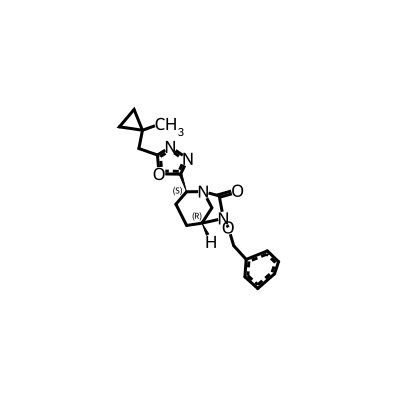 CC1(Cc2nnc([C@@H]3CC[C@@H]4CN3C(=O)N4OCc3ccccc3)o2)CC1